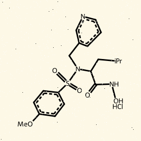 COc1ccc(S(=O)(=O)N(Cc2cccnc2)C(CC(C)C)C(=O)NO)cc1.Cl